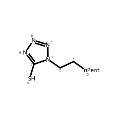 CCCCCCCn1nnnc1S